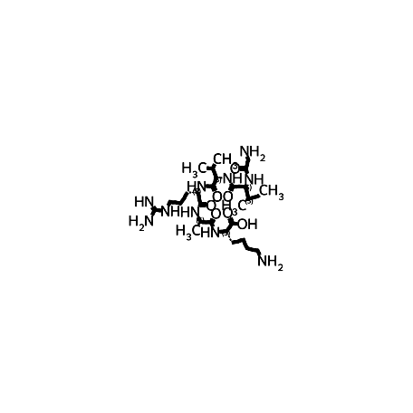 CC[C@H](C)[C@H](NC(=O)CN)C(=O)N[C@H](C(=O)N[C@@H](CCCNC(=N)N)C(=O)N[C@@H](C)C(=O)N[C@@H](CCCCN)C(=O)O)C(C)C